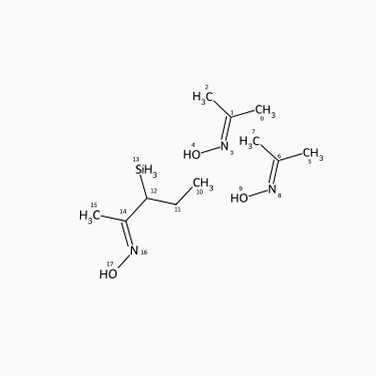 CC(C)=NO.CC(C)=NO.CCC([SiH3])C(C)=NO